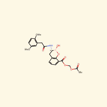 COc1ccc(OC)c(CC(=O)N[C@H]2Cc3cccc(C(=O)OCOC(=O)C(C)(C)C)c3OB2O)c1